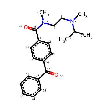 CC(C)N(C)CCN(C)C(=O)c1ccc(C(=O)c2ccccc2)cc1